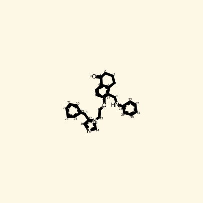 O=C1CCCc2c1ccc(OCCn1cncc1Cc1ccccc1)c2CNc1ccccc1